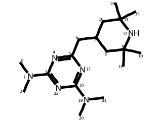 CN(C)c1nc(CC2CC(C)(C)NC(C)(C)C2)nc(N(C)C)n1